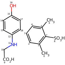 Cc1cccc(C)c1S(=O)(=O)O.O=C(O)CNc1ccc(O)cc1